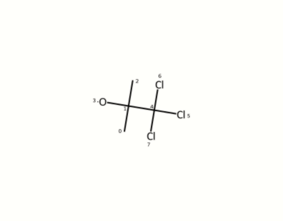 CC(C)([O])C(Cl)(Cl)Cl